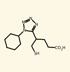 O=C(O)CCC(CS)c1nnnn1C1CCCCC1